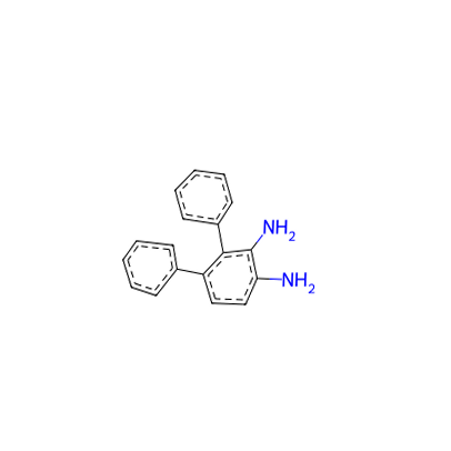 Nc1ccc(-c2ccccc2)c(-c2ccccc2)c1N